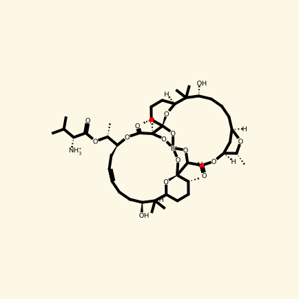 CC(C)[C@@H]([NH3+])C(=O)O[C@H](C)[C@@H]1C/C=C\CC[C@H](O)C(C)(C)[C@@H]2CC[C@@H](C)[C@]3(O2)O[B-]24O[C@@H](C(=O)O1)[C@@]1(O[C@@H](CC[C@H]1C)C(C)(C)[C@H](O)CCC[C@@H]1C[C@H](OC(=O)[C@@H]3O2)[C@@H](C)O1)O4